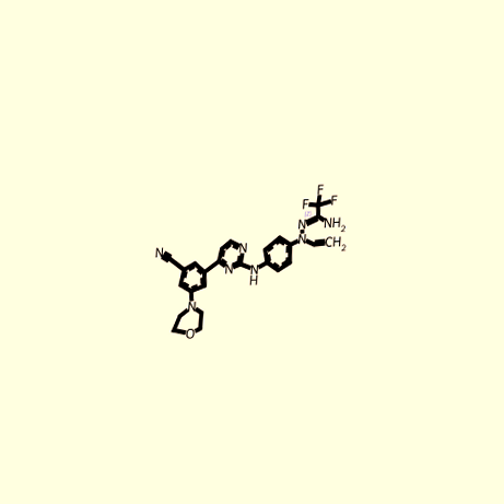 C=CN(/N=C(\N)C(F)(F)F)c1ccc(Nc2nccc(-c3cc(C#N)cc(N4CCOCC4)c3)n2)cc1